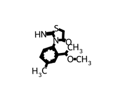 COC(C)c1cc(C)ccc1N1C(=N)SCC1=O